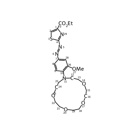 CCOC(=O)c1csc(/N=N/c2ccc(N3CCOCCOCCOCCOCC3)c(OC)c2)n1